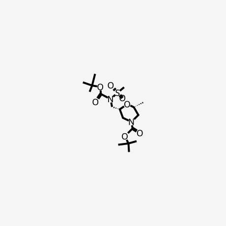 C[C@@H]1CN(C(=O)OC(C)(C)C)C[C@H](CN(C(=O)OC(C)(C)C)S(C)(=O)=O)O1